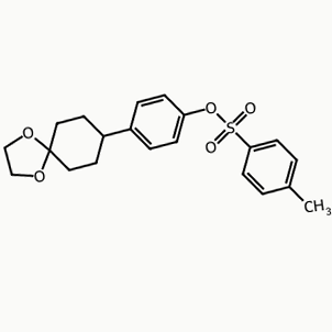 Cc1ccc(S(=O)(=O)Oc2ccc(C3CCC4(CC3)OCCO4)cc2)cc1